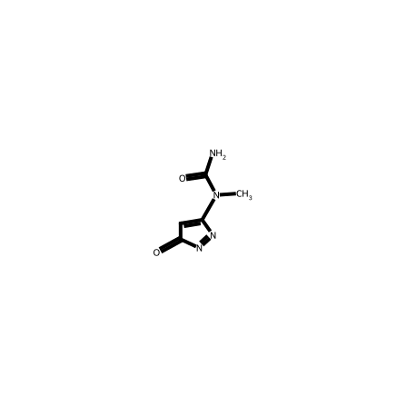 CN(C(N)=O)C1=CC(=O)N=N1